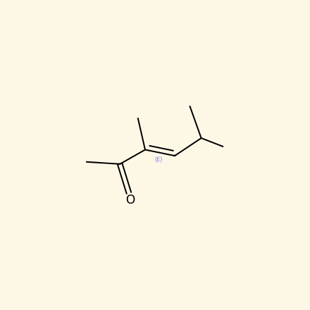 CC(=O)/C(C)=C/C(C)C